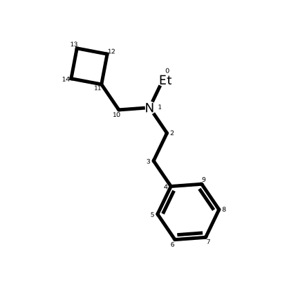 CCN(CCc1ccccc1)CC1CCC1